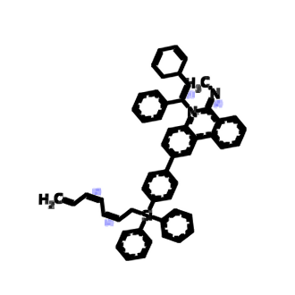 C=C/C=C\C=C/C[Si](c1ccccc1)(c1ccccc1)c1ccc(-c2ccc3c(c2)c2ccccc2/c(=N/C)n3/C(=C/C2C=CC=CC2)c2ccccc2)cc1